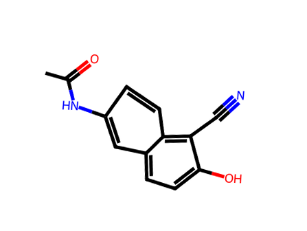 CC(=O)Nc1ccc2c(C#N)c(O)ccc2c1